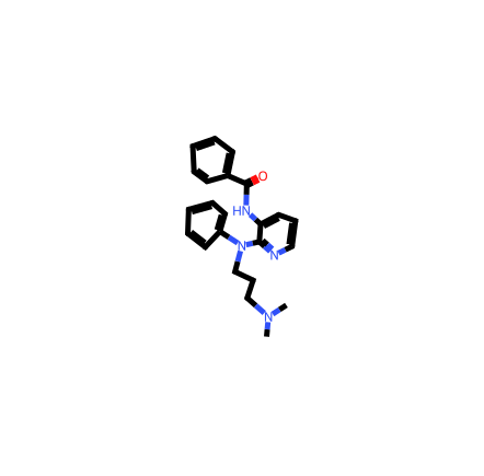 CN(C)CCCN(c1ccccc1)c1ncccc1NC(=O)c1ccccc1